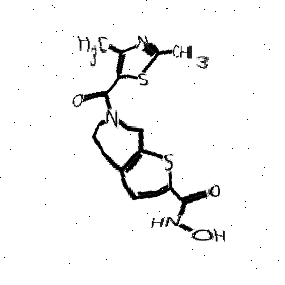 Cc1nc(C)c(C(=O)N2CCc3cc(C(=O)NO)sc3C2)s1